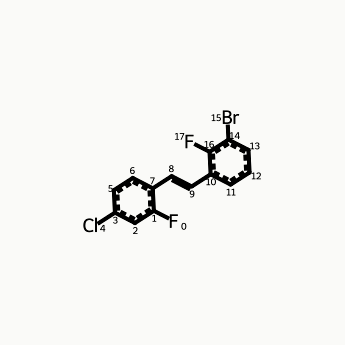 Fc1cc(Cl)ccc1C=Cc1cccc(Br)c1F